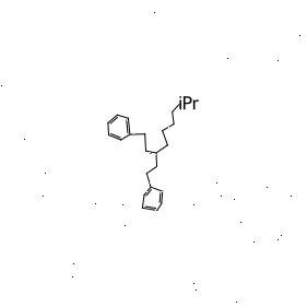 CC(C)CCCC[C](CCc1ccccc1)CCc1ccccc1